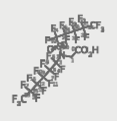 O=C(O)CN(C(F)(F)C(F)(F)C(F)(F)C(F)(F)C(F)(F)C(F)(F)F)S(=O)(=O)C(F)(F)C(F)(F)C(F)(F)C(F)(F)C(F)(F)F